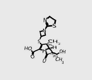 C[C@@H](O)[C@H]1C(=O)N2C(C(=O)O)=C(SC3CN(C4=NCCS4)C3)[C@H](C)[C@H]12